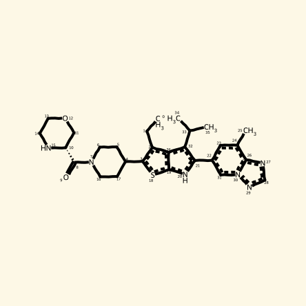 CCc1c(C2CCN(C(=O)[C@H]3COCCN3)CC2)sc2[nH]c(-c3cc(C)c4ncnn4c3)c(C(C)C)c12